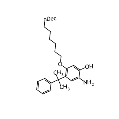 CCCCCCCCCCCCCCCCOc1cc(O)c(N)cc1C(C)(C)c1ccccc1